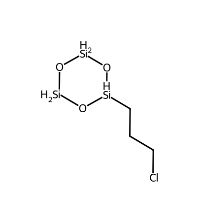 ClCCC[SiH]1O[SiH2]O[SiH2]O1